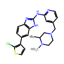 CC(C)(C)C1CN(Cc2ccnc(Nc3nc4ccc(-c5ccsc5Cl)cc4[nH]3)c2)CCN1C(=O)O